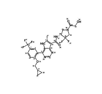 Cc1[nH]c2c(-c3cc(C(F)(F)F)ccc3OCC3CC3)ncnc2c1C(=O)N[C@@H]1CN(C(=O)CO)CC1(F)F